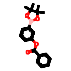 CC1(C)OB(c2cccc(OC(=O)c3ccccc3)c2)OC1(C)C